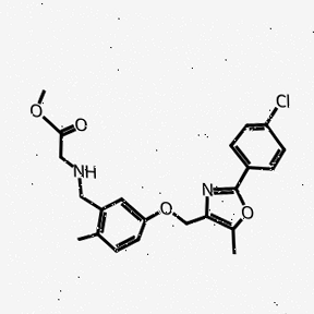 COC(=O)CNCc1cc(OCc2nc(-c3ccc(Cl)cc3)oc2C)ccc1C